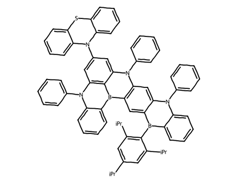 CC(C)c1cc(C(C)C)c(B2c3ccccc3N(c3ccccc3)c3cc4c(cc32)B2c3ccccc3N(c3ccccc3)c3cc(N5c6ccccc6Sc6ccccc65)cc(c32)N4c2ccccc2)c(C(C)C)c1